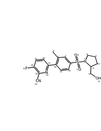 Cc1cc(S(=O)(=O)N2CCCC2CO)ccc1-c1ccc(F)c(C#N)n1